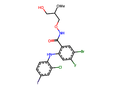 COC(CO)CONC(=O)c1cc(Br)c(F)cc1Nc1ccc(I)cc1Cl